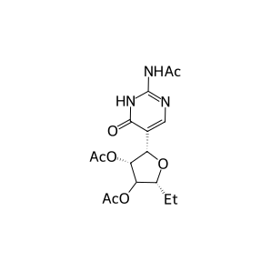 CC[C@H]1O[C@@H](c2cnc(NC(C)=O)[nH]c2=O)[C@@H](OC(C)=O)C1OC(C)=O